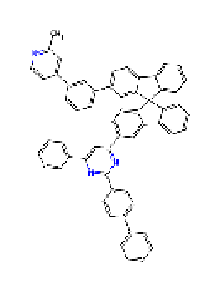 Cc1cc(-c2cccc(-c3ccc4c(c3)C3(c5ccccc5-c5cc(-c6cc(-c7ccccc7)nc(-c7ccc(-c8ccccc8)cc7)n6)ccc53)c3ccccc3-4)c2)ccn1